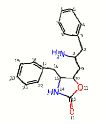 NC(Cc1ccccc1)CC1OC(=O)NC1Cc1ccccc1